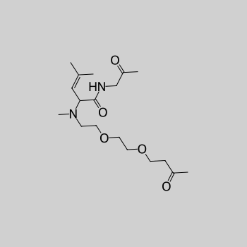 CC(=O)CCOCCOCCN(C)C(C=C(C)C)C(=O)NCC(C)=O